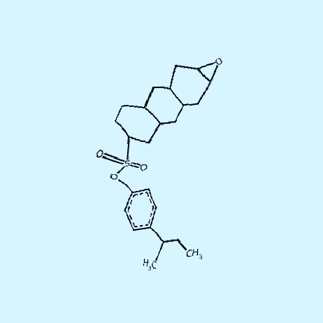 CCC(C)c1ccc(OS(=O)(=O)C2CCC3CC4CC5OC5CC4CC3C2)cc1